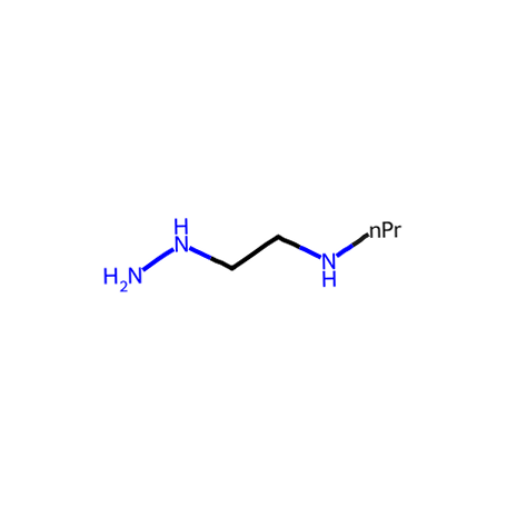 CCCNCCNN